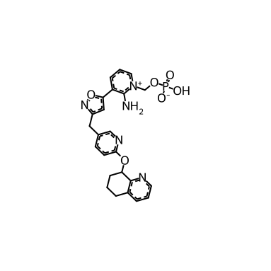 Nc1c(-c2cc(Cc3ccc(OC4CCCc5cccnc54)nc3)no2)ccc[n+]1COP(=O)([O-])O